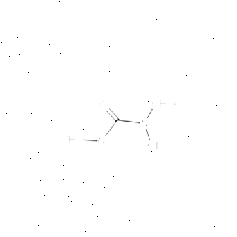 O=[C]N(O)C(=O)[N]O